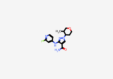 CC1COCCC1n1cc(C(N)=O)c(Nc2ccnc(F)c2)n1